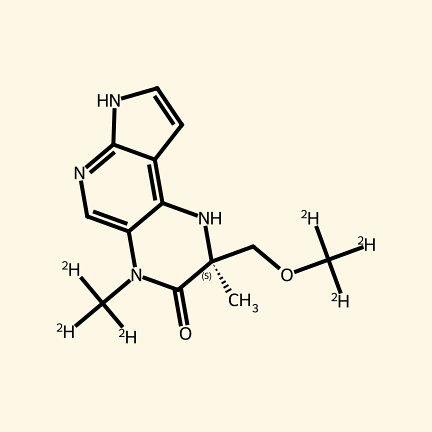 [2H]C([2H])([2H])OC[C@]1(C)Nc2c(cnc3[nH]ccc23)N(C([2H])([2H])[2H])C1=O